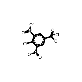 Cl.O=C(O)c1cc([N+](=O)[O-])c(Cl)c([N+](=O)[O-])c1